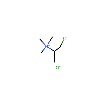 CC(CCl)[N+](C)(C)C.[Cl-]